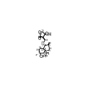 C=C1CC[C@@H]2[C@@H](C)[C@@](C)(O)CC[C@@]2(C)[C@@H]1CC=C1C(=O)OCC1O